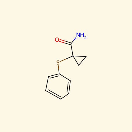 NC(=O)C1(Sc2ccccc2)CC1